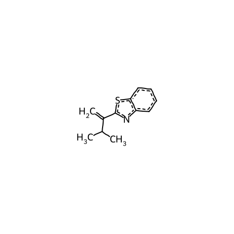 C=C(c1nc2ccccc2s1)C(C)C